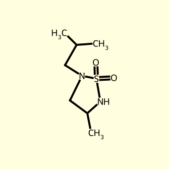 CC(C)CN1CC(C)NS1(=O)=O